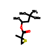 COC(CC([SiH3])(OC)OC)OC(=O)C1(C)CS1